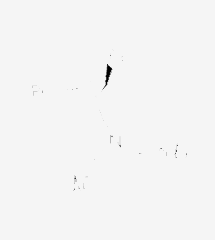 CC(=O)[C@H](C(C)C)N(C)C(C)=O